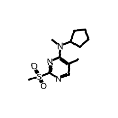 Cc1cnc(S(C)(=O)=O)nc1N(C)C1CCCC1